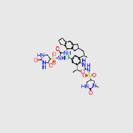 CC(C)c1cc(Cl)cc(C(C)CC2Cc3cc4c(c(NC(=O)NS(=O)(=O)C5CNC(=O)NC5=O)c3C2)CCC4)c1NC(=O)NS(=O)(=O)C1CNC(=O)N(C)C1